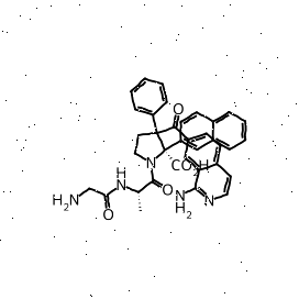 C[C@H](NC(=O)CN)C(=O)N1CCC(C(=O)c2ccc3ccnc(N)c3c2)(c2ccccc2)[C@@]1(C(=O)O)c1ccc2ccccc2c1